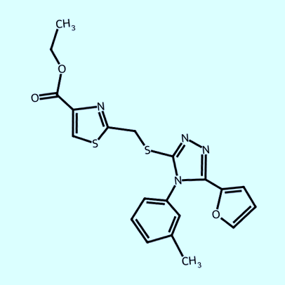 CCOC(=O)c1csc(CSc2nnc(-c3ccco3)n2-c2cccc(C)c2)n1